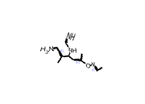 C/C=N/O/C(C)=C/C(NC=N)/C(C)=C/N